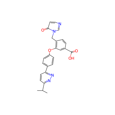 CC(C)c1ccc(-c2ccc(Oc3cc(C(=O)O)ccc3Cn3cnccc3=O)cc2)nn1